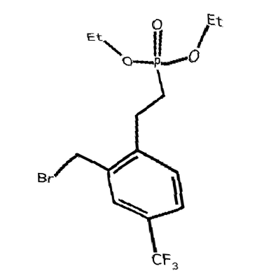 CCOP(=O)(CCc1ccc(C(F)(F)F)cc1CBr)OCC